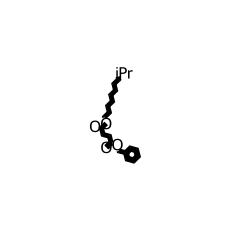 CC(C)CCCCCCCCOC(=O)CCC(=O)OCc1ccccc1